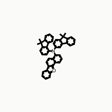 CC1(C)c2ccccc2-c2cc(N(c3cccc4c3-c3ccccc3C4(C)C)c3cccc4c3ccc3c5ccccc5oc43)ccc21